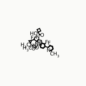 Cc1ccc(F)c(-c2cccc(C[C@H]3[C@H]4NS(=O)(=O)N(C)C5(C)CC5C4(F)CN3C(=O)C3(O)CCC3)c2F)n1